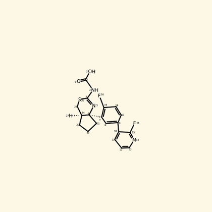 O=C(O)NC1=N[C@@]2(c3cc(-c4cccnc4F)ccc3F)CCC[C@H]2CS1